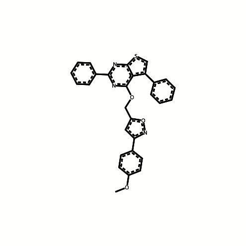 COc1ccc(-c2cc(COc3nc(-c4ccccc4)nc4scc(-c5ccccc5)c34)on2)cc1